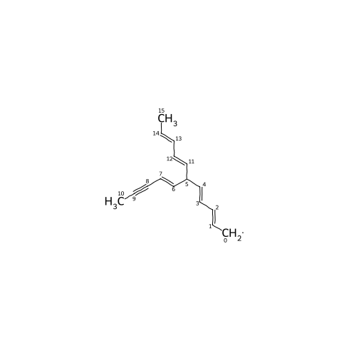 [CH2]C=CC=CC(C=CC#CC)C=CC=CC